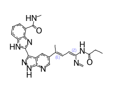 C=N/C(=C\C=C(/C)c1cnc2[nH]nc(-c3nc4c(C(=O)NC)cccc4[nH]3)c2c1)NC(=O)CC